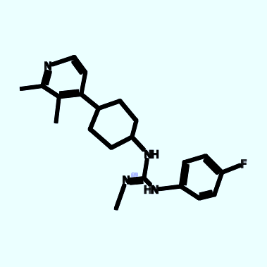 C/N=C(\Nc1ccc(F)cc1)NC1CCC(c2ccnc(C)c2C)CC1